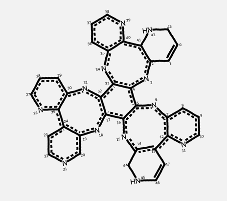 C1=Cc2nc3c4nc5cccnc5c5c(nc4c4nc6cnccc6c6ncccc6nc4c3nc3cccnc3c2NC1)CNC=C5